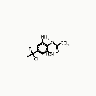 Nc1cc(C(F)(F)Cl)cc(N)c1OC(=O)C(Cl)(Cl)Cl